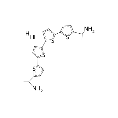 CC(N)c1ccc(-c2ccc(-c3ccc(-c4ccc(C(C)N)s4)s3)s2)s1.I.I